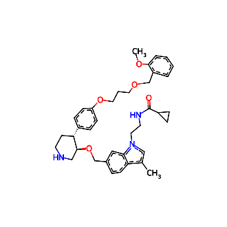 COc1ccccc1COCCCOc1ccc([C@H]2CCNC[C@@H]2OCc2ccc3c(C)cn(CCNC(=O)C4CC4)c3c2)cc1